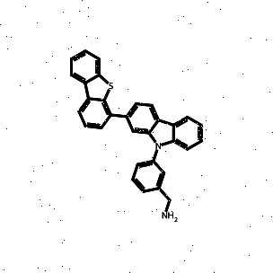 NCc1cccc(-n2c3ccccc3c3ccc(-c4cccc5c4sc4ccccc45)cc32)c1